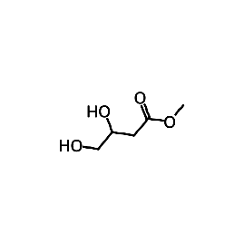 COC(=O)CC(O)CO